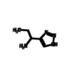 CC[C](N)c1c[nH]nn1